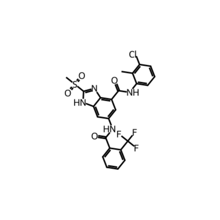 Cc1c(Cl)cccc1NC(=O)c1cc(NC(=O)c2ccccc2C(F)(F)F)cc2[nH]c(S(C)(=O)=O)nc12